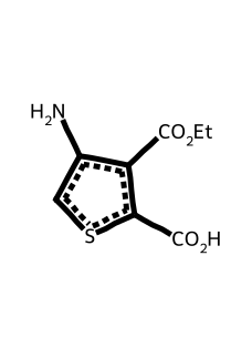 CCOC(=O)c1c(N)csc1C(=O)O